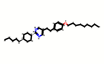 CCCCCCCCCOc1ccc(CCc2cnc([C@H]3CC[C@H](CCCCC)CC3)nc2)cc1